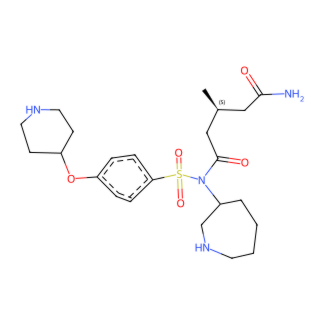 C[C@@H](CC(N)=O)CC(=O)N(C1CCCCNC1)S(=O)(=O)c1ccc(OC2CCNCC2)cc1